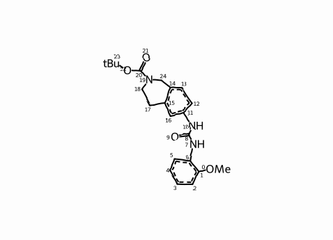 COc1ccccc1NC(=O)Nc1ccc2c(c1)CCN(C(=O)OC(C)(C)C)C2